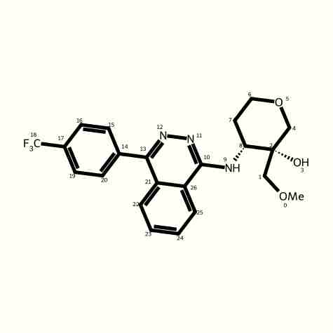 COC[C@]1(O)COCC[C@H]1Nc1nnc(-c2ccc(C(F)(F)F)cc2)c2ccccc12